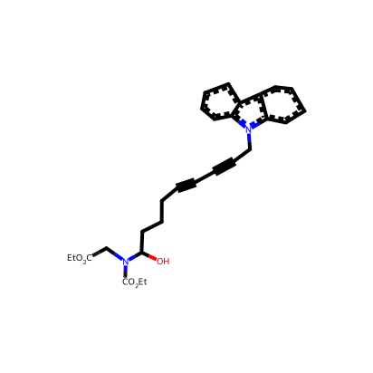 CCOC(=O)CN(C(=O)OCC)C(O)CCCC#CC#CCn1c2ccccc2c2ccccc21